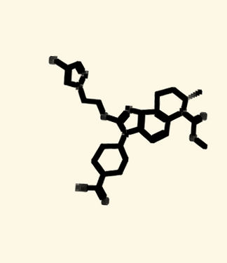 COC(=O)N1c2ccc3c(nc(OCCn4cc(Cl)cn4)n3C3CCC(C(=O)O)CC3)c2CC[C@@H]1C